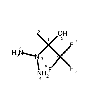 CC(O)(N(N)N)C(F)(F)F